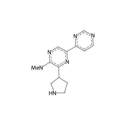 CNc1ncc(-c2ccncn2)nc1C1CCNC1